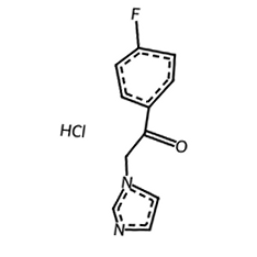 Cl.O=C(Cn1ccnc1)c1ccc(F)cc1